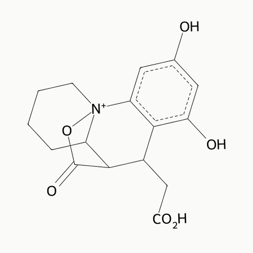 O=C(O)CC1c2c(O)cc(O)cc2[N+]23CCCCC2C1C(=O)O3